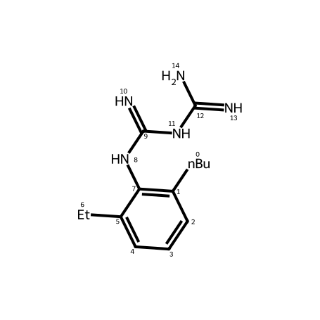 CCCCc1cccc(CC)c1NC(=N)NC(=N)N